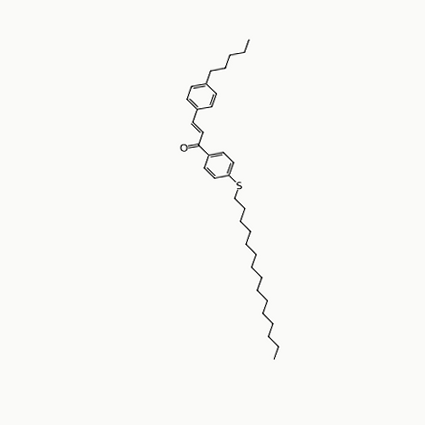 CCCCCCCCCCCCCCCSc1ccc(C(=O)C=Cc2ccc(CCCCC)cc2)cc1